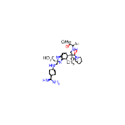 COC(=O)C(NCC(C)(C(=O)N1CCCC1)c1ccc2c(c1C)=NC(CNc1ccc(C(=N)N)cc1)(CC(=O)O)N=2)C(C)=O